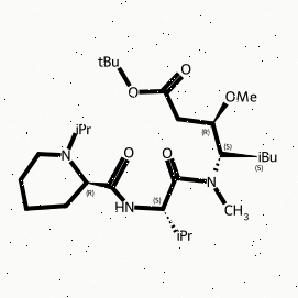 CC[C@H](C)[C@@H]([C@@H](CC(=O)OC(C)(C)C)OC)N(C)C(=O)[C@@H](NC(=O)[C@H]1CCCCN1C(C)C)C(C)C